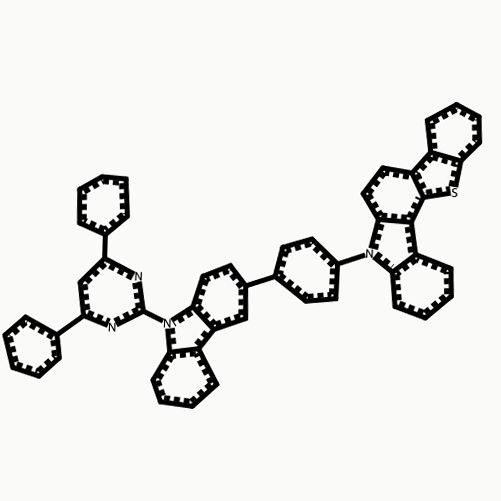 c1ccc(-c2cc(-c3ccccc3)nc(-n3c4ccccc4c4cc(-c5ccc(-n6c7ccccc7c7c8sc9ccccc9c8ccc76)cc5)ccc43)n2)cc1